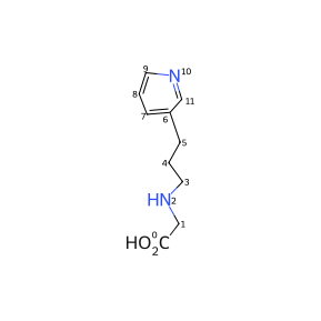 O=C(O)CNCCCc1cccnc1